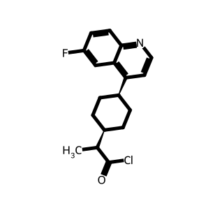 CC(C(=O)Cl)[C@H]1CC[C@@H](c2ccnc3ccc(F)cc32)CC1